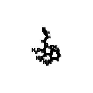 Cc1cccc(N)c1C(C)C(C)OCCC#N